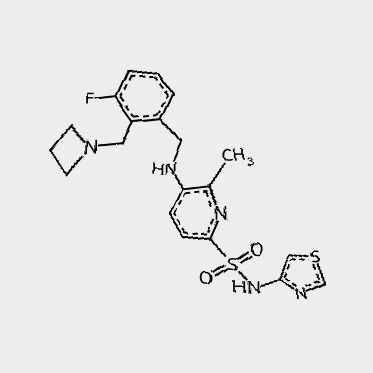 Cc1nc(S(=O)(=O)Nc2cscn2)ccc1NCc1cccc(F)c1CN1CCC1